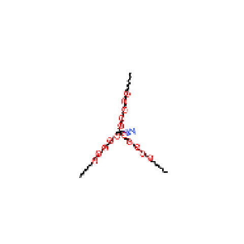 CCCCCCCCOCCOCCOCCOCCOCC(CN=[N+]=[N-])(COCCOCCOCCOCCOCCCCCCCC)COCCOCCOCCOCCOCCCCCCCC